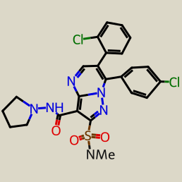 CNS(=O)(=O)c1nn2c(-c3ccc(Cl)cc3)c(-c3ccccc3Cl)cnc2c1C(=O)NN1CCCC1